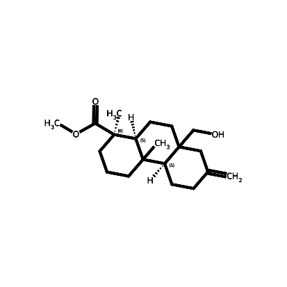 C=C1CC[C@@H]2C(CO)(CC[C@H]3C2(C)CCC[C@@]3(C)C(=O)OC)C1